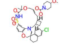 COC1CCN(C(=O)O[C@H]2/C=C/COC(C)(C)C(=O)NS(=O)(=O)c3ccc4c(c3)N(C[C@@H]3CC[C@H]32)C[C@@]2(CCCc3cc(Cl)ccc32)CO4)CC1